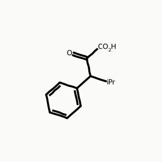 CC(C)C(C(=O)C(=O)O)c1ccccc1